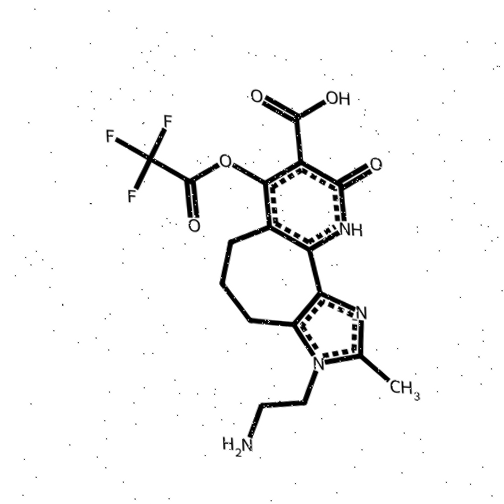 Cc1nc2c(n1CCN)CCCc1c-2[nH]c(=O)c(C(=O)O)c1OC(=O)C(F)(F)F